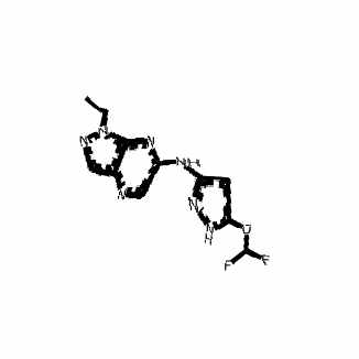 CCn1ncc2ncc(Nc3cc(OC(F)F)[nH]n3)nc21